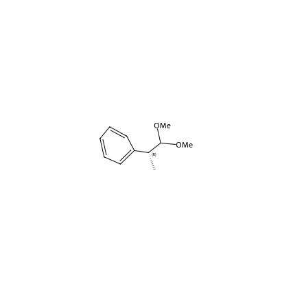 COC(OC)[C@H](C)c1ccccc1